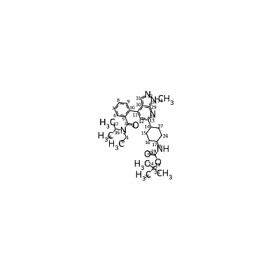 CCN(C(=O)c1ccccc1-c1cc(C2CCC(NC(=O)OC(C)(C)C)CC2)nc2c1cnn2C)C(C)C